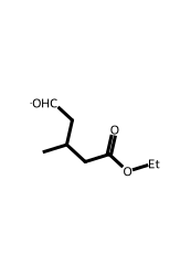 CCOC(=O)CC(C)C[C]=O